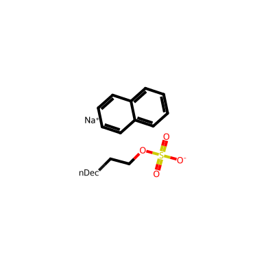 CCCCCCCCCCCCOS(=O)(=O)[O-].[Na+].c1ccc2ccccc2c1